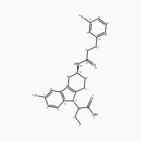 CCC(C(=O)O)n1c2c(c3cc(F)ccc31)C[C@@H](NC(=O)CCc1cccc(F)c1)CC2